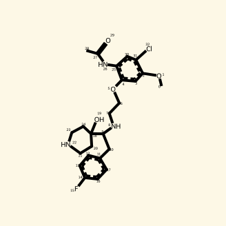 COc1cc(OCCNC(Cc2ccc(F)cc2)C2(O)CCNCC2)c(NC(C)=O)cc1Cl